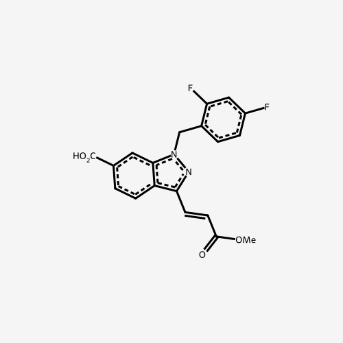 COC(=O)C=Cc1nn(Cc2ccc(F)cc2F)c2cc(C(=O)O)ccc12